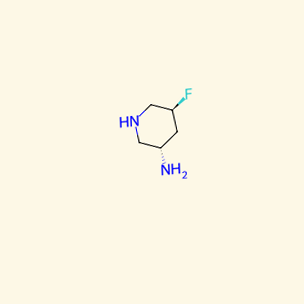 N[C@@H]1CNC[C@@H](F)C1